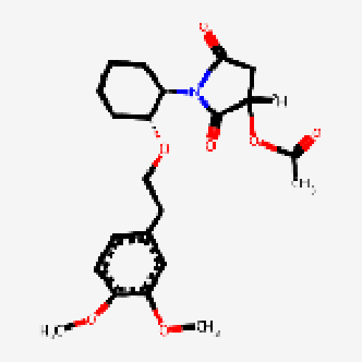 [2H]C1(OC(C)=O)CC(=O)N([C@@H]2CCCC[C@H]2OCCc2ccc(OC)c(OC)c2)C1=O